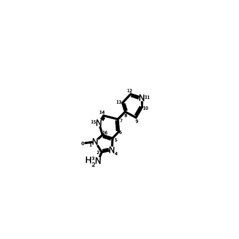 Cn1c(N)nc2cc(-c3ccncc3)cnc21